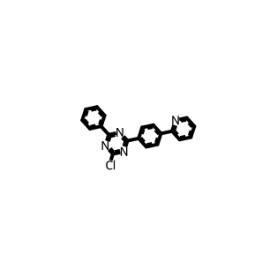 Clc1nc(-c2ccccc2)nc(-c2ccc(-c3ccccn3)cc2)n1